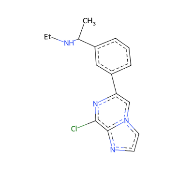 CCNC(C)c1cccc(-c2cn3ccnc3c(Cl)n2)c1